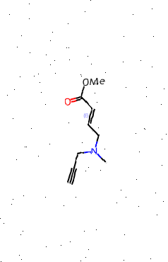 C#CCN(C)C/C=C/C(=O)OC